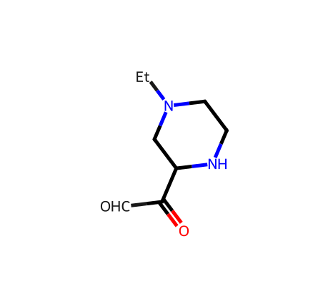 CCN1CCNC(C(=O)C=O)C1